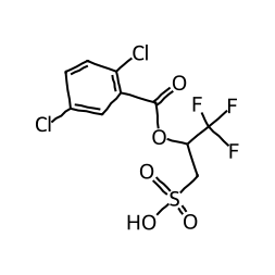 O=C(OC(CS(=O)(=O)O)C(F)(F)F)c1cc(Cl)ccc1Cl